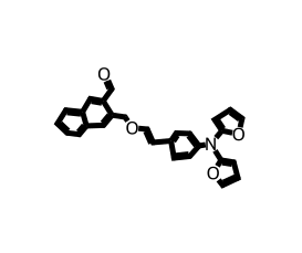 O=Cc1cc2ccccc2cc1COC=Cc1ccc(N(c2ccco2)c2ccco2)cc1